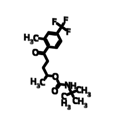 Cc1cc(C(F)(F)F)ccc1C(=O)CCC(C)OC(=O)NC(C)(C)C